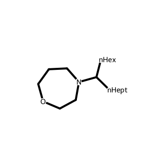 CCCCCCCC(CCCCCC)N1CCCOCC1